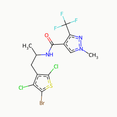 CC(Cc1c(Cl)sc(Br)c1Cl)NC(=O)c1cn(C)nc1C(F)(F)F